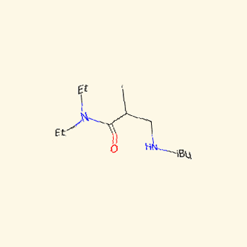 CCC(C)NCC(C)C(=O)N(CC)CC